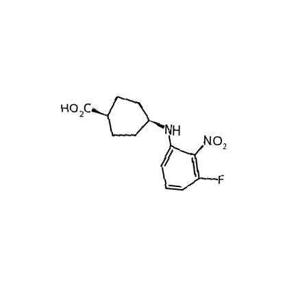 O=C(O)[C@H]1CC[C@@H](Nc2cccc(F)c2[N+](=O)[O-])CC1